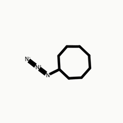 [N-]=[N+]=NC1CCCCCCC1